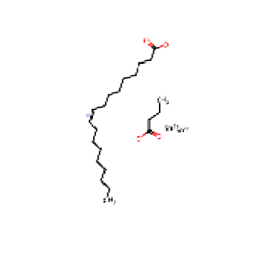 CCCC(=O)[O-].CCCCCCCC/C=C\CCCCCCCC(=O)[O-].[Sn+4].[Sn+4]